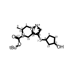 C[C@H]1Cn2ncc(SC3CCC(O)C3)c2CN1C(=O)OC(C)(C)C